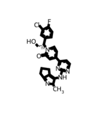 CC1N=C2CCCC2=C1Nc1nccc(-c2ccn([C@H](CO)c3ccc(F)c(Cl)c3)c(=O)c2)n1